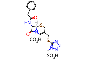 O=C(Cc1ccccc1)N[C@@H]1C(=O)N2C(C(=O)O)=C(CSc3nnnn3CS(=O)(=O)O)CS[C@H]12